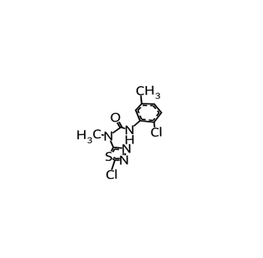 Cc1ccc(Cl)c(NC(=O)N(C)c2nnc(Cl)s2)c1